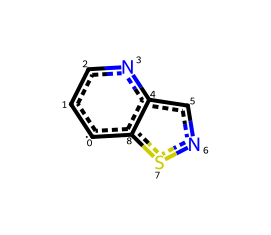 [c]1ccnc2cnsc12